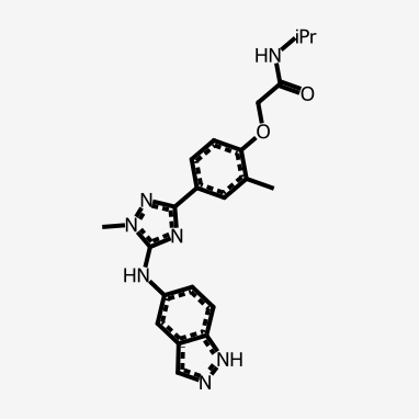 Cc1cc(-c2nc(Nc3ccc4[nH]ncc4c3)n(C)n2)ccc1OCC(=O)NC(C)C